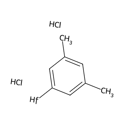 Cc1cc(C)c[c]([Hf])c1.Cl.Cl